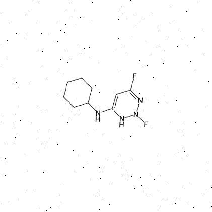 FC1=NN(F)NC(NC2CCCCC2)=C1